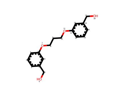 OCc1cccc(OCCCOc2cccc(CO)c2)c1